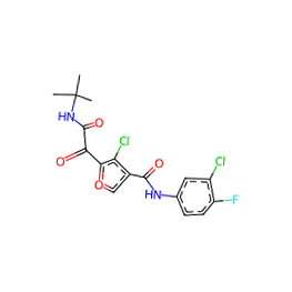 CC(C)(C)NC(=O)C(=O)c1occ(C(=O)Nc2ccc(F)c(Cl)c2)c1Cl